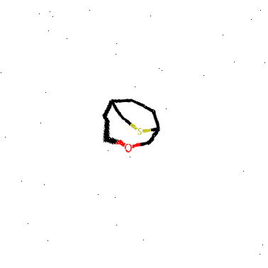 C1CC2CCC(CO1)SC2